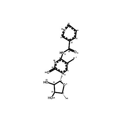 C[C@H]1O[C@@H](n2cc(F)c(NC(=O)c3cccnc3)nc2=O)C(O)C1O